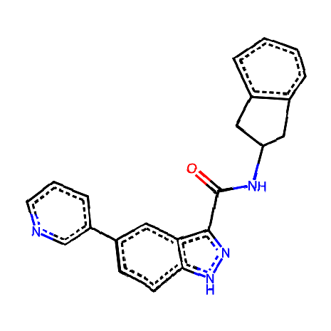 O=C(NC1Cc2ccccc2C1)c1n[nH]c2ccc(-c3cccnc3)cc12